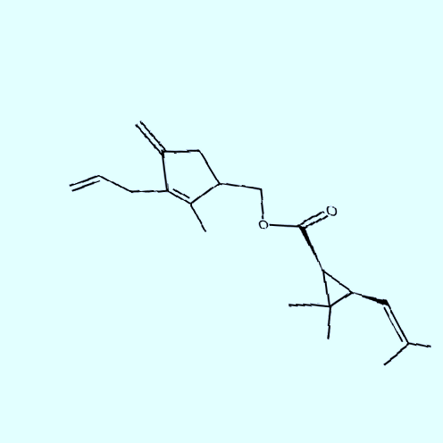 C=CCC1=C(C)C(COC(=O)[C@H]2[C@@H](C=C(C)C)C2(C)C)CC1=C